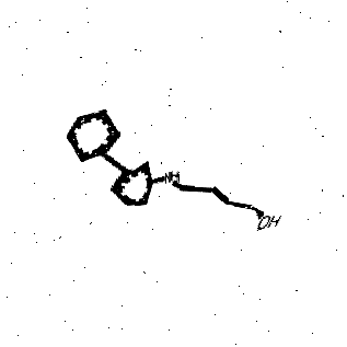 OC/C=C/CNc1cccc(-c2ccccc2)c1